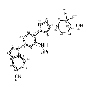 CC(C)Nc1cc(-c2ccc3cc(C#N)cnn23)ncc1-c1nnc(N2CC[C@@H](O)C(F)(F)C2)s1